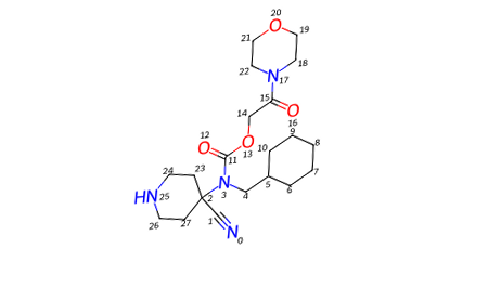 N#CC1(N(CC2CCCCC2)C(=O)OCC(=O)N2CCOCC2)CCNCC1